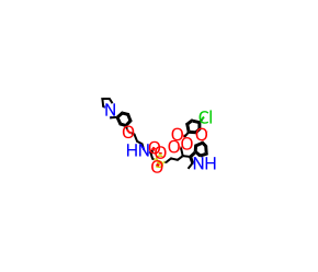 COc1ccc2[nH]c(C)c(C(CCCS(=O)(=O)CC(=O)NCCCOc3cccc(CN4CCCC4)c3)C(=O)OC(=O)c3ccc(Cl)cc3)c2c1